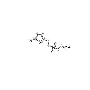 C[N+](C)(CCO)CCc1ccc(I)s1